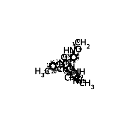 C=CC(=O)Nc1cccc(N2C(=O)N(Cc3ccc(C)cc3C)Cc3cnc(Nc4cn(C)nc4Cl)nc32)c1